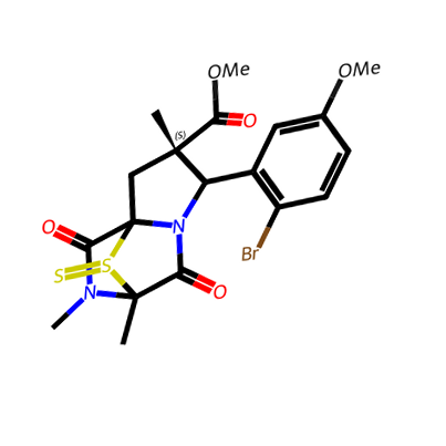 COC(=O)[C@@]1(C)CC23C(=O)N(C)C(C)(C(=O)N2C1c1cc(OC)ccc1Br)S3=S